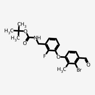 Cc1c(Oc2cccc(CNC(=O)OC(C)(C)C)c2F)ccc(C=O)c1Br